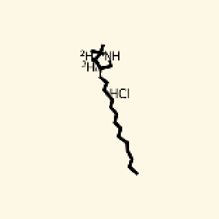 Cl.[2H]C1([2H])[C@H](CCCCCCCCCCCCCC)CNC1(C)C